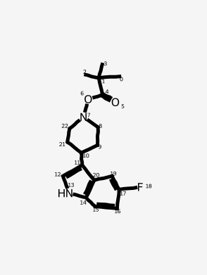 CC(C)(C)C(=O)ON1CCC(c2c[nH]c3ccc(F)cc23)CC1